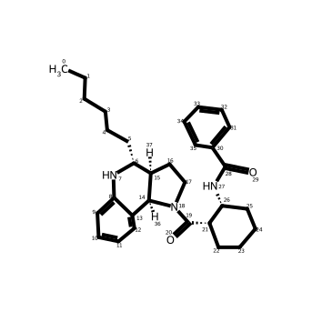 CCCCCC[C@H]1Nc2ccccc2[C@H]2[C@@H]1CCN2C(=O)[C@H]1CCCC[C@H]1NC(=O)c1ccccc1